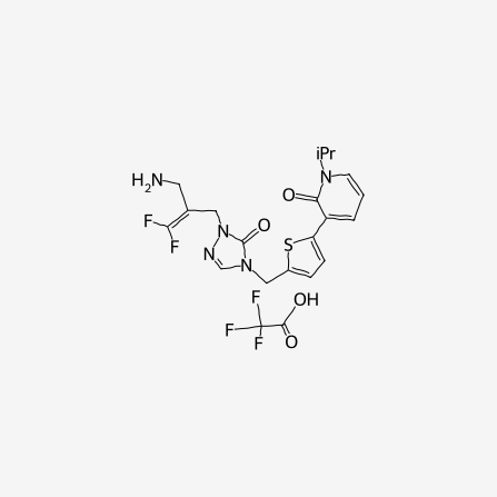 CC(C)n1cccc(-c2ccc(Cn3cnn(CC(CN)=C(F)F)c3=O)s2)c1=O.O=C(O)C(F)(F)F